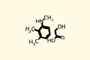 CNc1cccc(C)c1C.O=C(O)CO